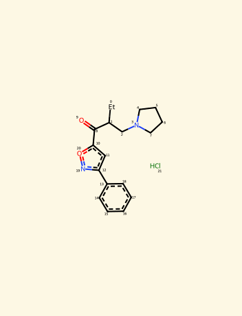 CCC(CN1CCCC1)C(=O)c1cc(-c2ccccc2)no1.Cl